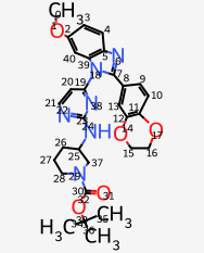 COc1ccc2nc(-c3ccc4c(c3)OCCO4)n(-c3ccnc(NC4CCCN(C(=O)OC(C)(C)C)C4)n3)c2c1